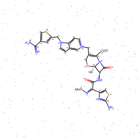 CO/N=C(\C(=O)N[C@@H]1C(=O)N2C(C(=O)[O-])=C(C[n+]3ccc4c(ccn4Cc4cc(C(=N)N)cs4)c3)CS[C@H]12)c1csc(N)n1